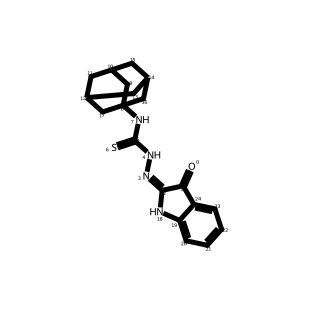 O=C1C(=NNC(=S)NC23CC4CC(CC(C4)C2)C3)Nc2ccccc21